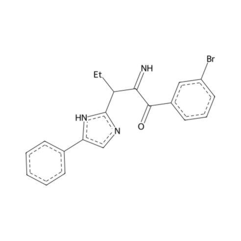 CCC(C(=N)C(=O)c1cccc(Br)c1)c1ncc(-c2ccccc2)[nH]1